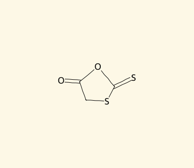 O=C1CSC(=S)O1